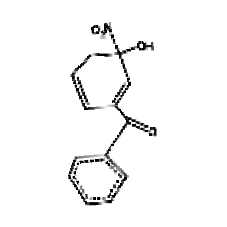 O=C(C1=CC(O)([N+](=O)[O-])CC=C1)c1ccccc1